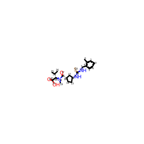 Cc1ccccc1CNC(=S)N[C@H]1CC[C@H](C(=O)N(C)[C@H](C(=O)O)C(C)C)C1